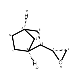 C1C[C@H]2C[C@@H]1C[C@@H]2[C@@H]1CO1